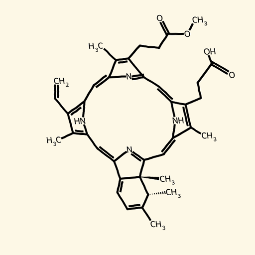 C=Cc1c(C)c2cc3nc(cc4[nH]c(cc5nc(cc1[nH]2)C(C)=C5CCC(=O)OC)c(CCC(=O)O)c4C)[C@@]1(C)C3=CC=C(C)[C@H]1C